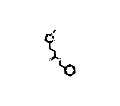 Cn1ccc(CCC(=O)OCc2ccccc2)n1